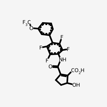 O=C(O)C1=C(C(=O)Nc2c(F)c(F)c(-c3cccc(OC(F)(F)F)c3)c(F)c2F)CCC1O